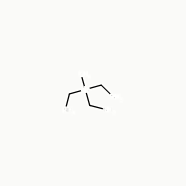 [CH3][Sn]([CH2]N)([CH2]N)[CH2]N